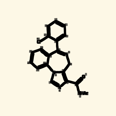 CC(=O)NC(=O)c1ncn2c1CN=C(c1ccccc1Cl)c1ccccc1-2